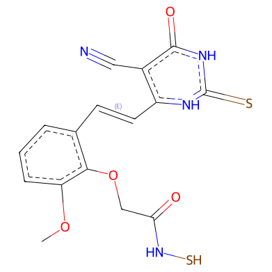 COc1cccc(/C=C/c2[nH]c(=S)[nH]c(=O)c2C#N)c1OCC(=O)NS